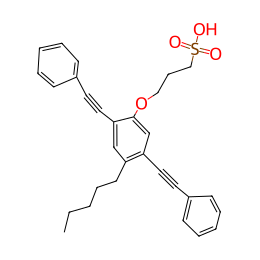 CCCCCc1cc(C#Cc2ccccc2)c(OCCCS(=O)(=O)O)cc1C#Cc1ccccc1